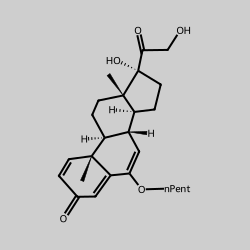 CCCCCOC1=C[C@@H]2[C@H](CC[C@@]3(C)[C@H]2CC[C@]3(O)C(=O)CO)[C@@]2(C)C=CC(=O)C=C12